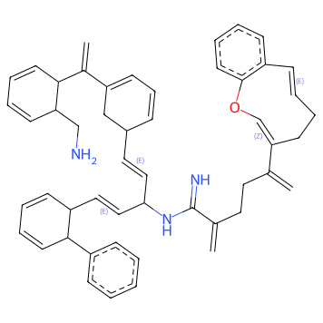 C=C(CCC(=C)/C1=C\Oc2ccccc2/C=C/CC1)C(=N)NC(/C=C/C1C=CC=C(C(=C)C2C=CC=CC2CN)C1)/C=C/C1C=CC=CC1c1ccccc1